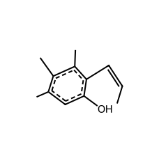 C/C=C\c1c(O)cc(C)c(C)c1C